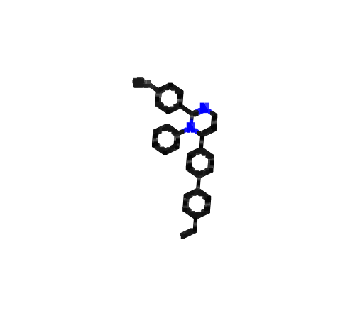 C=Cc1ccc(-c2ccc(C3=C=CN=C(c4ccc(C(C)(C)C)cc4)N3c3ccccc3)cc2)cc1